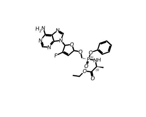 CCOC(=O)[C@H](C)N[P@](=O)(COC1C=C(F)C(n2cnc3c(N)ncnc32)O1)Oc1ccccc1